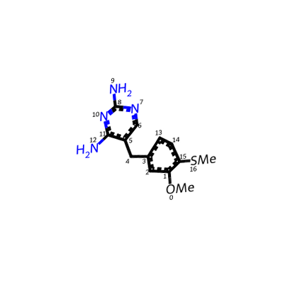 COc1cc(Cc2cnc(N)nc2N)ccc1SC